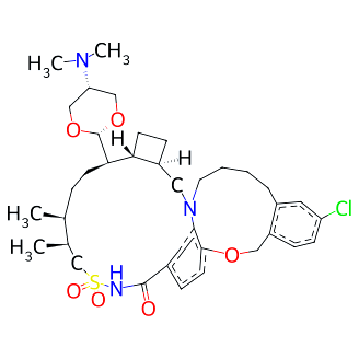 C[C@@H]1CS(=O)(=O)NC(=O)c2ccc3c(c2)N(CCCCc2cc(Cl)ccc2CO3)C[C@@H]2CC[C@H]2[C@H]([C@H]2OC[C@@H](N(C)C)CO2)CC[C@@H]1C